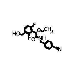 CCO[C@H](C(=O)NCc1ccc(C#N)cc1)c1c(F)ccc(CO)c1F